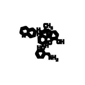 CN1CC[C@]23c4c5ccc(O)c4O[C@H]2[C@@H](O)C=C[C@H]3[C@H]1C5.NCc1ccccc1.c1ccc2ncccc2c1